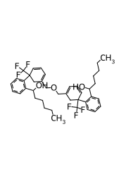 CCCCCC(O)c1ccccc1C1(C(F)(F)F)C=CC=C(COCC2=CC=CC(c3ccccc3C(O)CCCCC)(C(F)(F)F)C2)C1